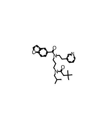 CC(C)CN(CCCN(CCc1cccnc1)C(=O)c1ccc2occc2c1)C(=O)CC(C)(C)C